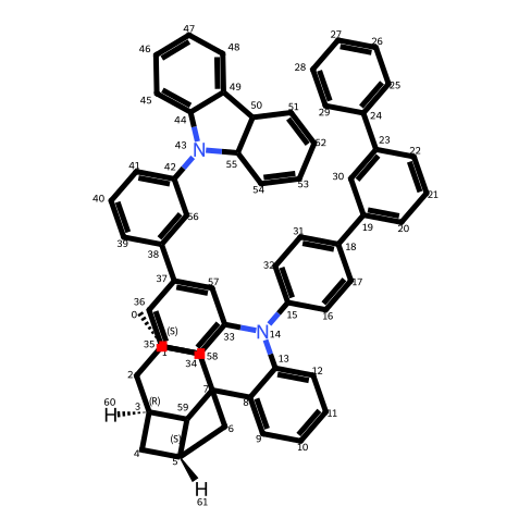 C[C@H]1C[C@@H]2C[C@H]3CC(c4ccccc4N(c4ccc(-c5cccc(-c6ccccc6)c5)cc4)c4cccc(-c5cccc(N6c7ccccc7C7C=CC=CC76)c5)c4)(C1)C23